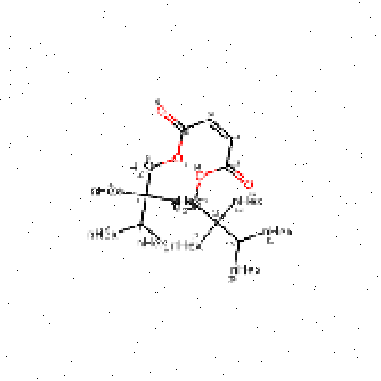 CCCCCCC(CCCCCC)C(CCCCCC)(CCCCCC)[SiH2]OC(=O)/C=C\C(=O)O[SiH2]C(CCCCCC)(CCCCCC)C(CCCCCC)CCCCCC